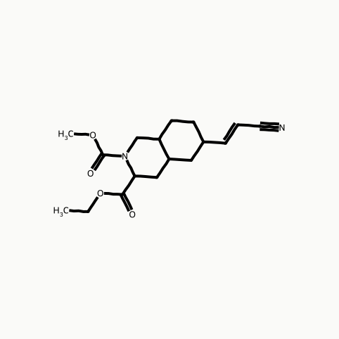 CCOC(=O)C1CC2CC(/C=C/C#N)CCC2CN1C(=O)OC